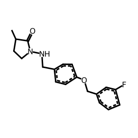 CC1CCN(NCc2ccc(OCc3cccc(F)c3)cc2)C1=O